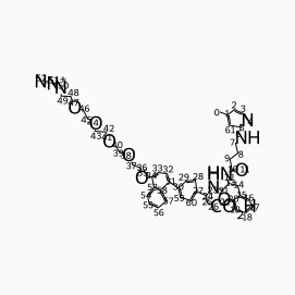 Cc1ccnc(NCCCC(=O)NC(Cc2ccccc2)C(=O)NC(CC(=O)O)c2ccc(-c3ccc(OCCOCCOCCOCCOCCN=[N+]=[N-])c4ccccc34)cc2)c1